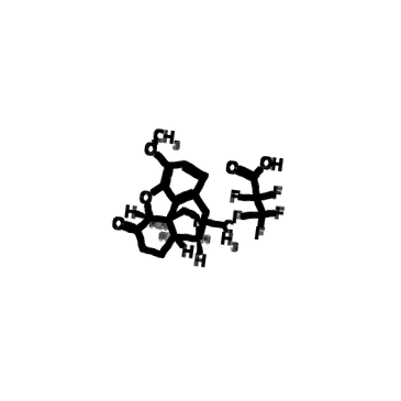 COc1ccc2c3c1O[C@H]1C(=O)CC[C@H]4[C@@H](C2)N(C)CC[C@]314.O=C(O)C(F)(F)C(F)(F)F